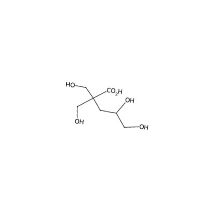 O=C(O)C(CO)(CO)CC(O)CO